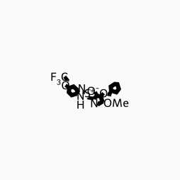 COc1cnc(C[S+]([O-])c2nc3cc(OCC(F)(F)F)ccc3[nH]2)c(C)c1OCc1ccccc1